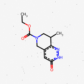 CCOC(=O)N1Cc2cc(=O)[nH]nc2C(C)C1